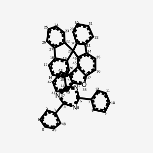 c1ccc(-c2nc(-c3ccccc3)nc(-c3ccc4c(c3)C3(c5ccccc5-4)c4ccccc4-c4ccc5oc6ccccc6c5c43)n2)cc1